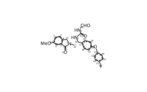 COc1ccc2c(c1)C(=O)N(C[C@H](NC(=O)NC=O)c1ccc(Oc3ccc(F)cc3)cc1)C2